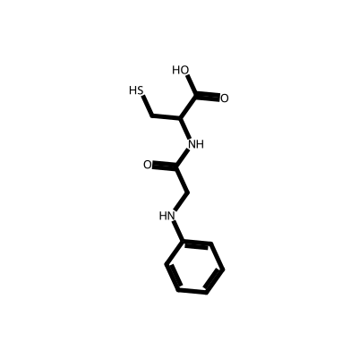 O=C(CNc1ccccc1)NC(CS)C(=O)O